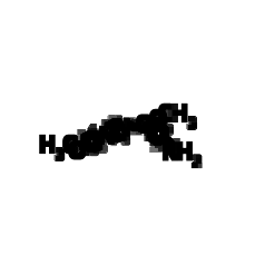 COc1ccc(N2CCN(CCOc3ccc(CN)cc3OC)CC2)cc1